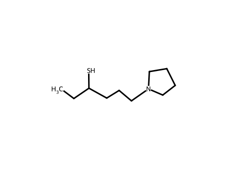 CCC(S)CCCN1CCCC1